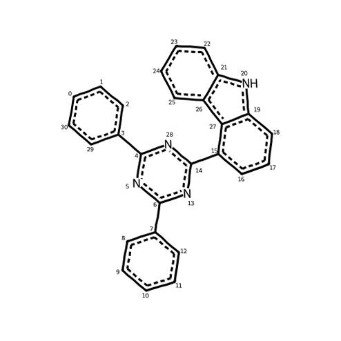 c1ccc(-c2nc(-c3ccccc3)nc(-c3cccc4[nH]c5ccccc5c34)n2)cc1